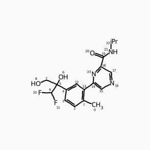 Cc1ccc(C(O)(CO)C(F)F)cc1-c1cncc(C(=O)NC(C)C)n1